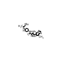 Cc1cc(-c2[nH]nc(C(=O)N[C@H]3CC[C@H](NC(C)CC(C)(C)C)CC3)c2C(C)C)cn2ncnc12